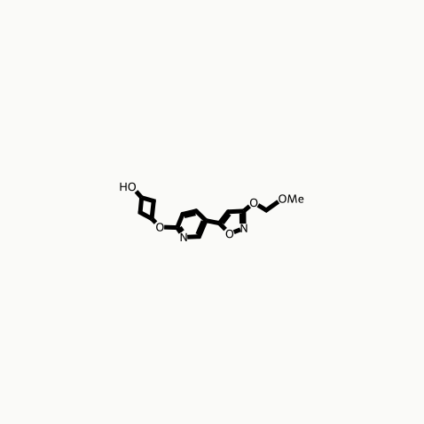 COCOc1cc(-c2ccc(OC3CC(O)C3)nc2)on1